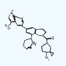 Cc1c[nH]c2ncc(-c3cc4c(c([C@@H]5COCCN5)c3)CN(C(=O)N3CCN(C)C5(CC5)C3)CC4)cc12